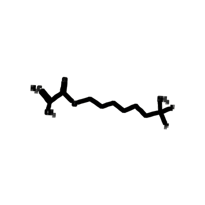 C=C(C)C(=O)OCCCCCCC(F)(F)[SiH3]